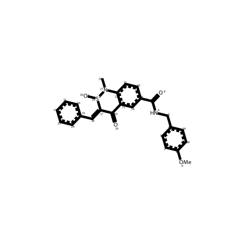 COc1ccc(CNC(=O)c2ccc3c(c2)C(=O)/C(=C/c2ccccc2)[S+]([O-])N3C)cc1